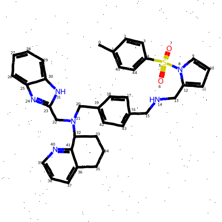 Cc1ccc(S(=O)(=O)n2cccc2CNCc2ccc(CN(Cc3nc4ccccc4[nH]3)C3CCCc4cccnc43)cc2)cc1